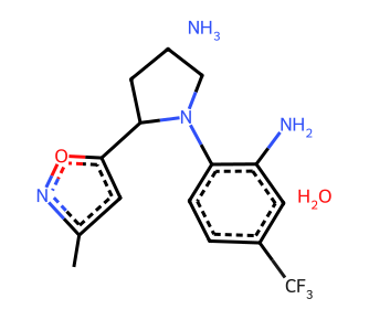 Cc1cc(C2CCCN2c2ccc(C(F)(F)F)cc2N)on1.N.O